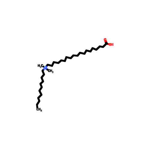 CCCCCCCCCCCC[N+](C)(C)CCCCCCCCCCCCCCCCCCC(=O)O